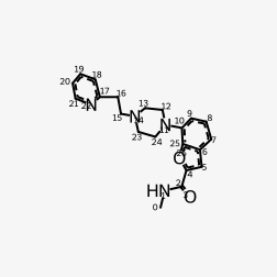 CNC(=O)c1cc2cccc(N3CCN(CCc4ccccn4)CC3)c2o1